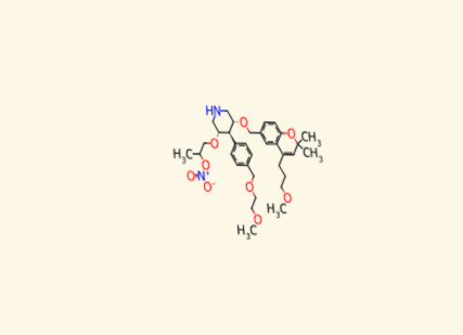 COCCCC1=CC(C)(C)Oc2ccc(CO[C@H]3CNC[C@@H](OCC(C)O[N+](=O)[O-])[C@@H]3c3ccc(COCCOC)cc3)cc21